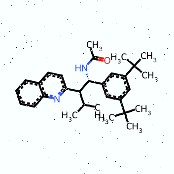 CC(=O)N[C@H](c1cc(C(C)(C)C)cc(C(C)(C)C)c1)C(c1ccc2ccccc2n1)C(C)C